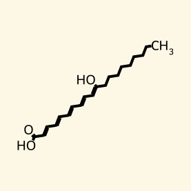 CCCCCCCCC/C(O)=C/C=C/C=C/C=C/C=C/C(=O)O